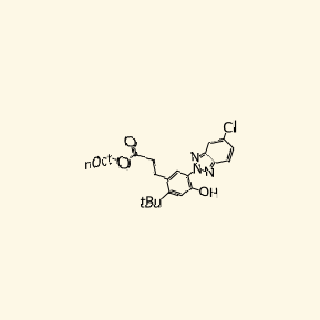 CCCCCCCCOC(=O)CCc1cc(-n2nc3ccc(Cl)cc3n2)c(O)cc1C(C)(C)C